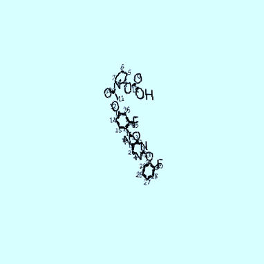 O=C(O)O[C@H]1CCCN1C(=O)COc1ccc(-c2nc3cnc(Oc4ccccc4F)nc3o2)c(F)c1